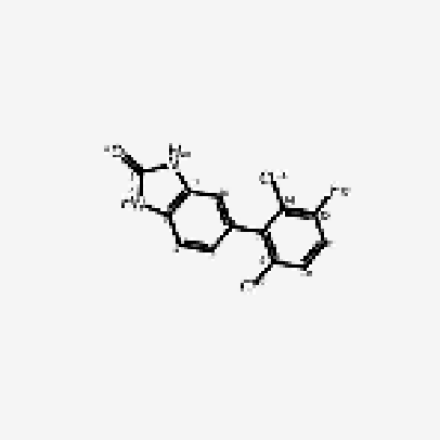 O=c1[nH]c2ccc(-c3c(Cl)ccc(F)c3Cl)cc2[nH]1